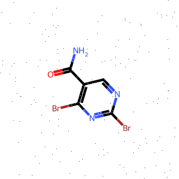 NC(=O)c1cnc(Br)nc1Br